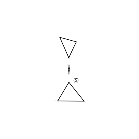 [CH]1C[C@H]1C1CC1